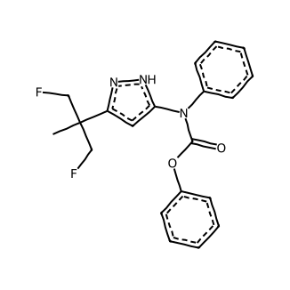 CC(CF)(CF)c1cc(N(C(=O)Oc2ccccc2)c2ccccc2)[nH]n1